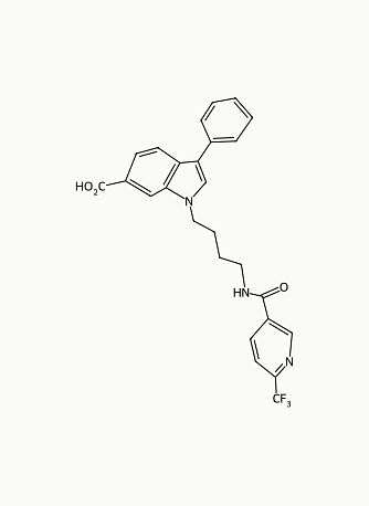 O=C(O)c1ccc2c(-c3ccccc3)cn(CCCCNC(=O)c3ccc(C(F)(F)F)nc3)c2c1